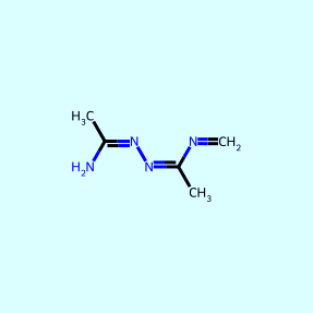 C=N/C(C)=N\N=C(\C)N